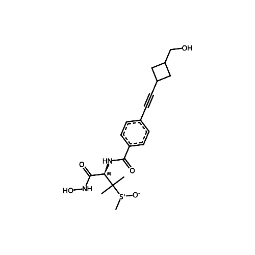 C[S+]([O-])C(C)(C)[C@H](NC(=O)c1ccc(C#CC2CC(CO)C2)cc1)C(=O)NO